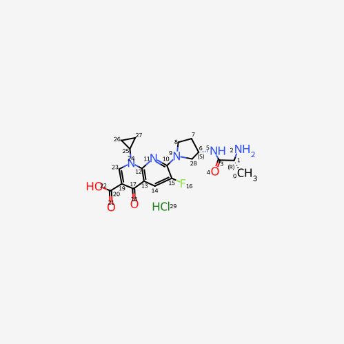 C[C@@H](N)C(=O)N[C@H]1CCN(c2nc3c(cc2F)c(=O)c(C(=O)O)cn3C2CC2)C1.Cl